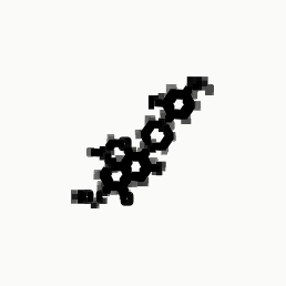 CN1COc2c(N3CCN(c4ccc(N)cc4F)CC3)c(F)cc3c(=O)c(C(=O)O)cn1c23